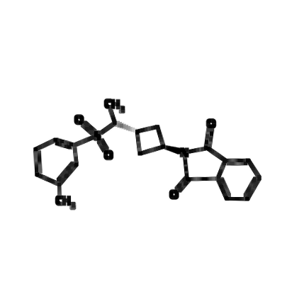 Cc1cccc(S(=O)(=O)C(C)[C@H]2C[C@H](N3C(=O)c4ccccc4C3=O)C2)c1